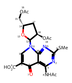 CSc1nc(NC(C)=O)c2c(=O)c(C(=O)O)cn(C3O[C@H](COC(C)=O)C[C@H]3OC(C)=O)c2n1